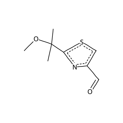 COC(C)(C)c1nc(C=O)cs1